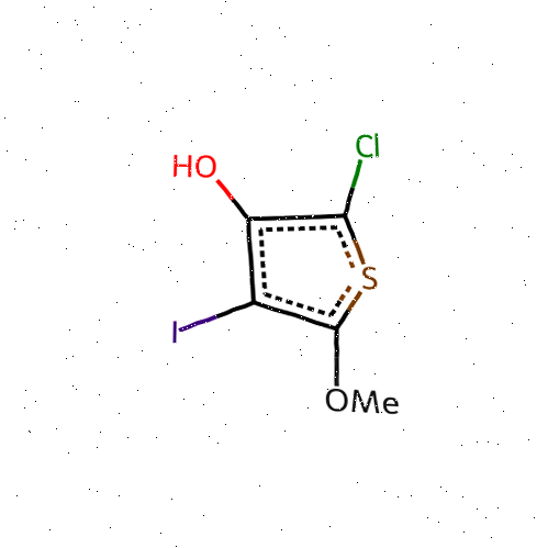 COc1sc(Cl)c(O)c1I